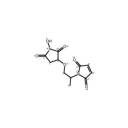 CC(COC1CC(=O)N(O)C1=O)N1C(=O)C=CC1=O